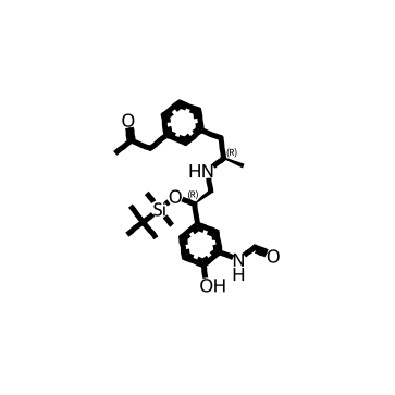 CC(=O)Cc1cccc(C[C@@H](C)NC[C@H](O[Si](C)(C)C(C)(C)C)c2ccc(O)c(NC=O)c2)c1